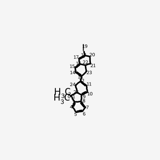 CC1(C)c2ccccc2C2=CC=C(C3=CC=C4C=C(I)CCC4C3)CC21